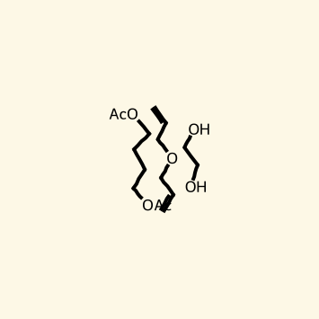 C=CCOCC=C.CC(=O)OCCCCOC(C)=O.OCCO